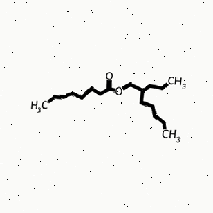 CCCCCCCC(=O)OCC(CCC)CCCCC